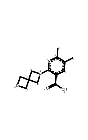 Cc1cc(C(=O)O)c(N2CC3(COC3)C2)nc1C